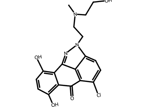 CN(CCO)CCn1nc2c3c(c(Cl)ccc31)C(=O)c1c(O)ccc(O)c1-2